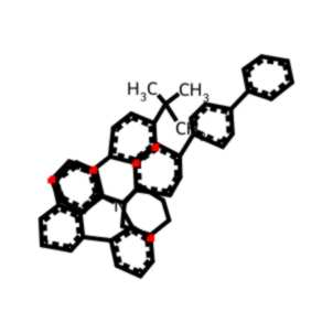 CC(C)(C)c1ccc(-c2ccccc2N(c2ccc(-c3ccc(-c4ccccc4)cc3)cc2)c2ccccc2-c2cccc3cccc(C4CCCCC4)c23)cc1